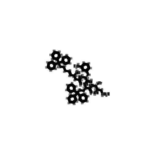 CC(C)[C@@H](NC(=O)[C@@H](CSC(c1ccccc1)(c1ccccc1)c1ccccc1)NC(=O)[C@@H](Cc1cccc(C(F)(F)F)c1)NC(=O)C[C@H](O)C=CCCSC(c1ccccc1)(c1ccccc1)c1ccccc1)[C@@H](O)CC(=O)O